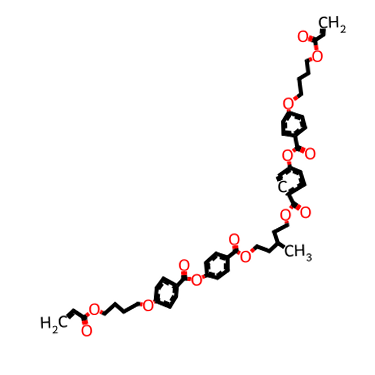 C=CC(=O)OCCCCOc1ccc(C(=O)Oc2ccc(C(=O)OCCC(C)CCOC(=O)c3ccc(OC(=O)c4ccc(OCCCCOC(=O)C=C)cc4)cc3)cc2)cc1